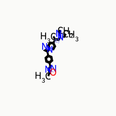 C=NN(/C=C(\C)c1ccn2c(-c3ccc(-c4noc(C)n4)cc3)cnc2c1)CC